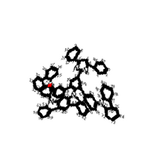 c1ccc(-c2cc(-c3ccccc3)nc(-c3cc(-c4cccc(-n5c6ccccc6c6ccccc65)c4)c(-n4c5ccccc5c5cc6c7ccccc7n(-c7ccccc7)c6cc54)c(-c4cccc(-n5c6ccccc6c6ccccc65)c4)c3)n2)cc1